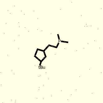 CP(C)CCC1CCC(C(C)(C)C)C1